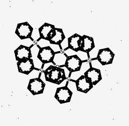 c1ccc([Si](c2ccccc2)(c2ccccc2)c2cc([Si](c3ccccc3)(c3ccccc3)c3ccccc3)c3c(c2)[Si](c2ccccc2)(c2ccccc2)c2cc([Si](c4ccccc4)(c4ccccc4)c4ccccc4)cc([Si](c4ccccc4)(c4ccccc4)c4ccccc4)c2O3)cc1